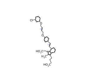 Cc1c(CCCC(=O)O)c2cccc(/C=C/c3ccc(OC/C=C/COc4cccc(Cl)c4)cc3)c2n1CC(=O)O